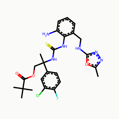 Cc1nnc(NCc2cccc(N)c2NC(=S)NC(C)(COC(=O)C(C)(C)C)c2ccc(F)c(Cl)c2)o1